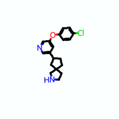 Clc1ccc(Oc2cncc(C3CCC4(CCNC4)C3)c2)cc1